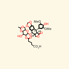 COc1cc([C@@H]2c3cc4c(cc3[C@@H](OC3OC5COC(C)OC5C(O)C3OC(=O)CCCC(=O)O)[C@H]3COC(=O)[C@H]23)OCO4)cc(OC)c1O